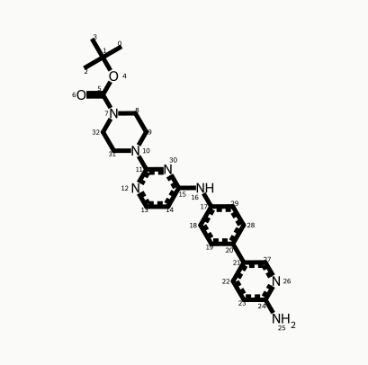 CC(C)(C)OC(=O)N1CCN(c2nccc(Nc3ccc(-c4ccc(N)nc4)cc3)n2)CC1